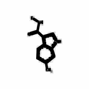 Cc1ccc2c(C(=O)NF)c[nH]c2c1